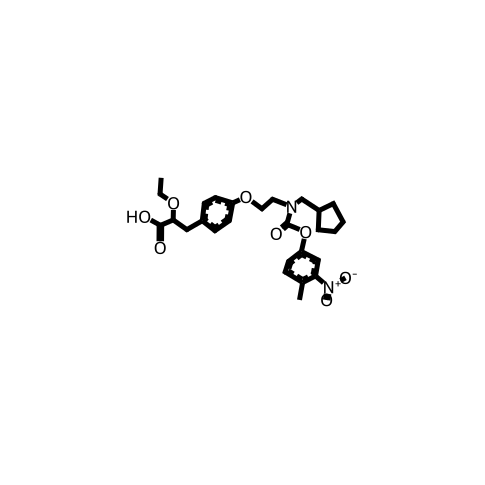 CCOC(Cc1ccc(OCCN(CC2CCCC2)C(=O)Oc2ccc(C)c([N+](=O)[O-])c2)cc1)C(=O)O